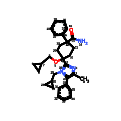 Cc1nc(C2(OCC3CC3)CCC(C(N)=O)(c3ccccc3)CC2)n(CC2CC2)c1-c1ccccc1